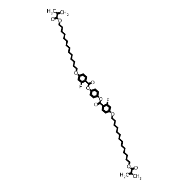 C=C(C)C(=O)OCCCCCCCCCCCCCCOc1ccc(C(=O)Oc2ccc(OC(=O)c3ccc(OCCCCCCCCCCCCCCOC(=O)C(=C)C)cc3F)cc2)c(F)c1